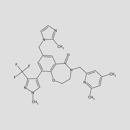 Cc1cc(C)nc(CN2CCOc3c(cc(Cn4ccnc4C)cc3-c3cn(C)nc3C(F)(F)F)C2=O)c1